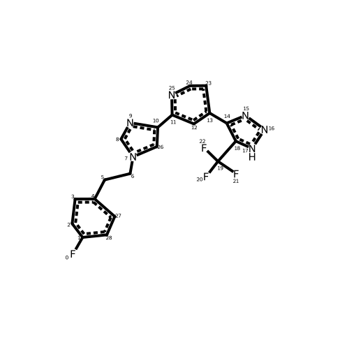 Fc1ccc(CCn2cnc(-c3cc(-c4nn[nH]c4C(F)(F)F)ccn3)c2)cc1